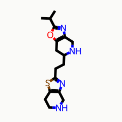 CC(C)c1nc2c(o1)CC(CCc1nc3c(s1)CCNC3)NC2